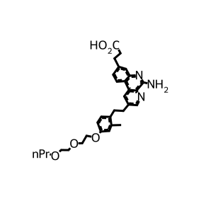 CCCOCCOCCOc1ccc(CCc2cnc3c(N)nc4cc(CCC(=O)O)ccc4c3c2)c(C)c1